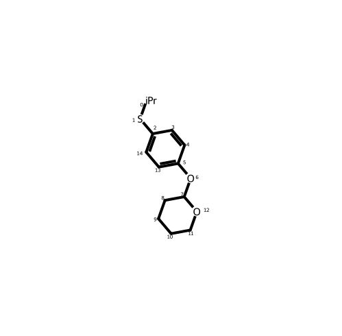 CC(C)Sc1ccc(OC2CCCCO2)cc1